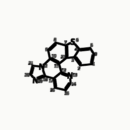 c1ccc2c(c1)sc1ccc3c(c4ncccc4c4nccn34)c12